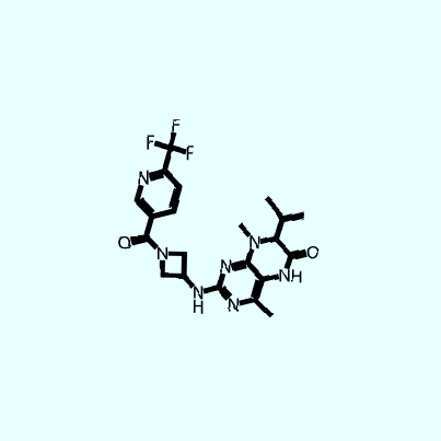 Cc1nc(NC2CN(C(=O)c3ccc(C(F)(F)F)nc3)C2)nc2c1NC(=O)C(C(C)C)N2C